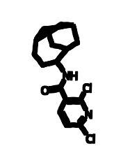 O=C(NC1CCC2CC3CC2CC1C3)c1ccc(Cl)nc1Cl